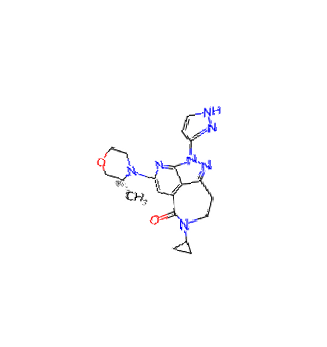 C[C@@H]1COCCN1c1cc2c3c(nn(-c4cc[nH]n4)c3n1)CCN(C1CC1)C2=O